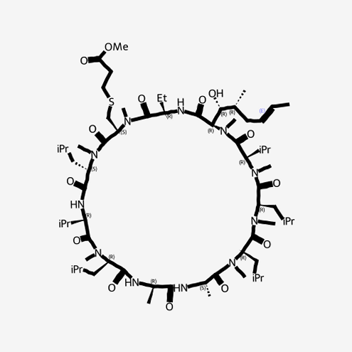 C/C=C/C[C@@H](C)[C@@H](O)[C@@H]1C(=O)N[C@H](CC)C(=O)N(C)[C@H](CSCCC(=O)OC)C(=O)N(C)[C@@H](CC(C)C)C(=O)N[C@H](C(C)C)C(=O)N(C)[C@H](CC(C)C)C(=O)N[C@H](C)C(=O)N[C@@H](C)C(=O)N(C)[C@H](CC(C)C)C(=O)N(C)[C@H](CC(C)C)C(=O)N(C)[C@H](C(C)C)C(=O)N1C